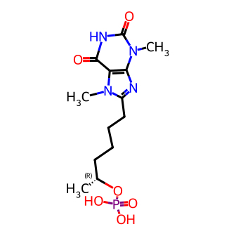 C[C@H](CCCCc1nc2c(c(=O)[nH]c(=O)n2C)n1C)OP(=O)(O)O